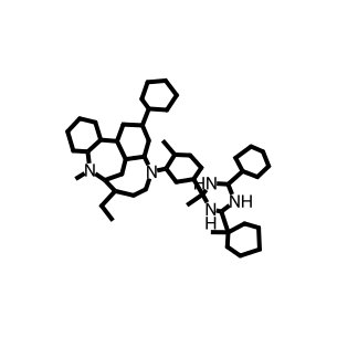 CCC1CCN(C2CC(C3(C)NC(C4CCCCC4)NC(C4(C)CCCCC4)N3)CCC2C)C2CC(C3CCCCC3)CC3C4CCCCC4N(C)C1CC32